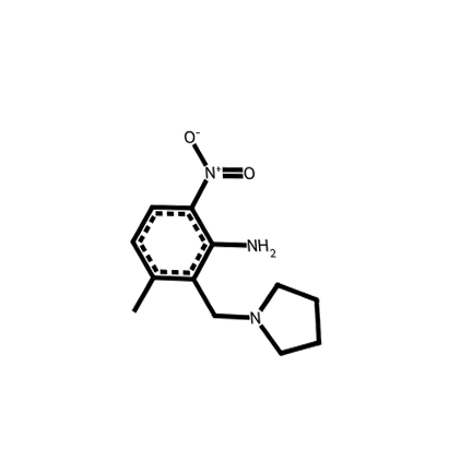 Cc1ccc([N+](=O)[O-])c(N)c1CN1CCCC1